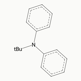 CC(C)(C)N(c1ccccc1)c1ccccc1